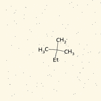 [CH2]C(C)(C)CC